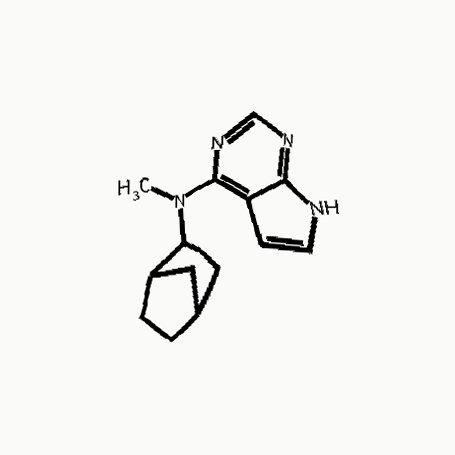 CN(c1ncnc2[nH]ccc12)C1CC2CCC1C2